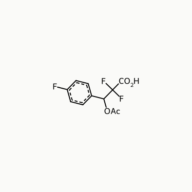 CC(=O)OC(c1ccc(F)cc1)C(F)(F)C(=O)O